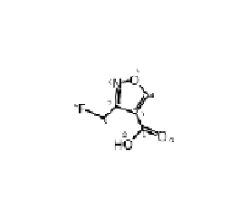 O=C(O)c1conc1CF